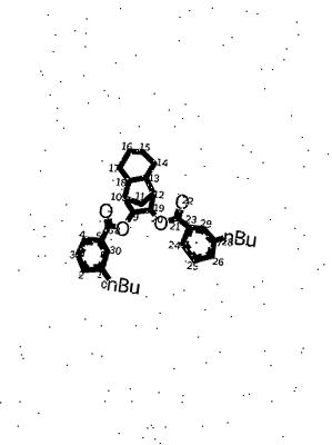 CCCCc1cccc(C(=O)OC2C3CC(C4CCCCC43)C2OC(=O)c2cccc(CCCC)c2)c1